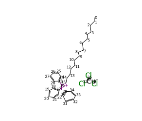 CCCCCCCCCCCCCCCC[P+](c1ccccc1)(c1ccccc1)c1ccccc1.[Cl][Cu-]([Cl])[Cl]